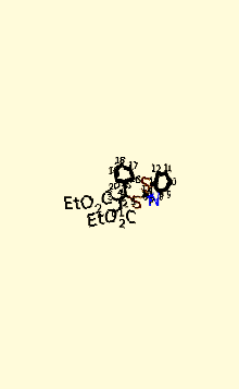 CCOC(=O)CC(C(=O)OCC)C(Sc1nc2ccccc2s1)c1ccccc1